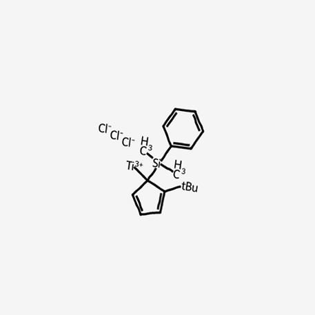 CC(C)(C)C1=CC=C[C]1([Ti+3])[Si](C)(C)c1ccccc1.[Cl-].[Cl-].[Cl-]